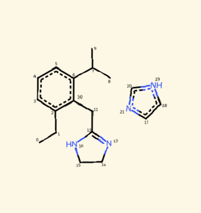 CCc1cccc(C(C)C)c1CC1=NCCN1.c1c[nH]cn1